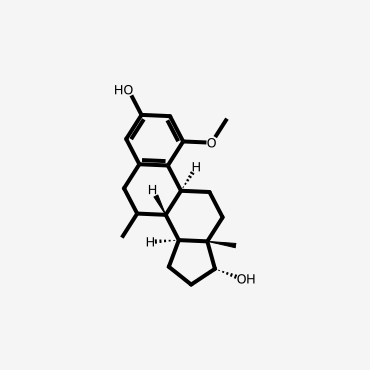 COc1cc(O)cc2c1[C@H]1CC[C@]3(C)[C@H](O)CC[C@H]3[C@@H]1C(C)C2